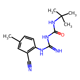 Cc1ccc(NC(=N)NC(=O)NC(C)(C)C)c(C#N)c1